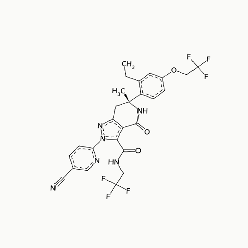 CCc1cc(OCC(F)(F)F)ccc1[C@@]1(C)Cc2nn(-c3ccc(C#N)cn3)c(C(=O)NCC(F)(F)F)c2C(=O)N1